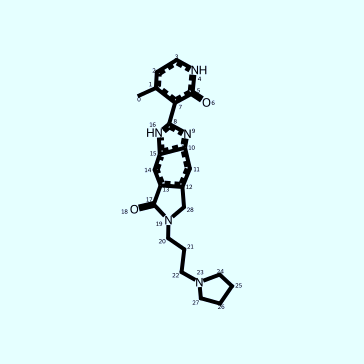 Cc1cc[nH]c(=O)c1-c1nc2cc3c(cc2[nH]1)C(=O)N(CCCN1CCCC1)C3